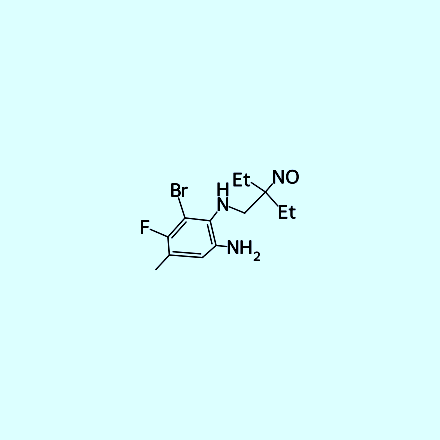 CCC(CC)(CNc1c(N)cc(C)c(F)c1Br)N=O